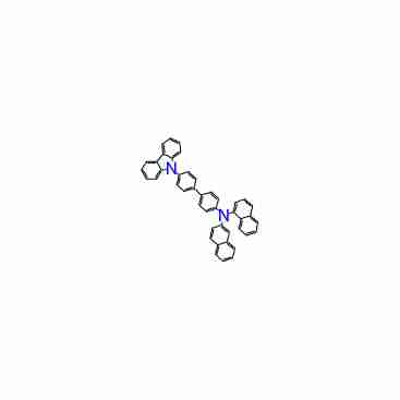 c1ccc2cc(N(c3ccc(-c4ccc(-n5c6ccccc6c6ccccc65)cc4)cc3)c3cccc4ccccc34)ccc2c1